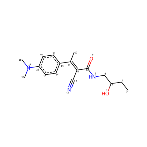 CCC(O)CNC(=O)/C(C#N)=C(\C)c1ccc(N(C)C)cc1